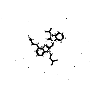 CC(C)CCn1c(Cn2c(=O)n(C(C)C)c3ccccc32)nc2c(CCC#N)cccc21